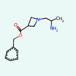 CC(N)CN1CC(C(=O)OCc2ccccc2)C1